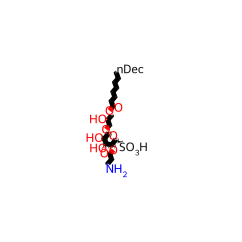 CCCCCCCCCCCCCCCCCC(=O)OCC(O)CO[C@H]1O[C@H](CS(=O)(=O)O)[C@@H](OC(=O)CCN)[C@H](O)[C@H]1O